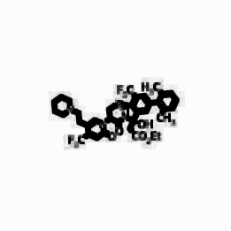 CCOC(=O)C[C@@](O)(NC(=O)C(CC(C)C)n1cc(CCN2CCCCC2)c(C(F)(F)F)cc1=O)c1cc(-c2c(C)cccc2C)cc(C(F)(F)F)c1F